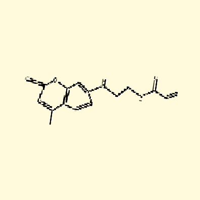 C=CC(=O)NCCNc1ccc2c(C)cc(=O)oc2c1